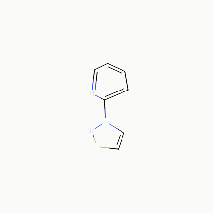 C1=CN(c2ccccn2)NS1